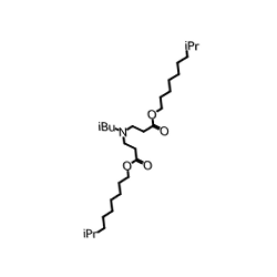 CCC(C)N(CCC(=O)OCCCCCCCC(C)C)CCC(=O)OCCCCCCCC(C)C